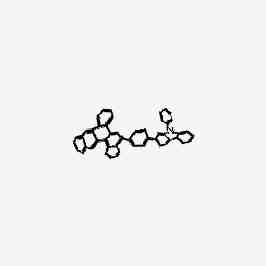 c1ccc(-n2c3ccccc3c3ccc(-c4ccc(-c5cc6c7ccccc7c7cc8ccccc8cc7c6c6ccccc56)cc4)cc32)cc1